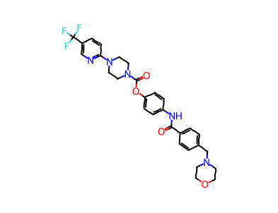 O=C(Nc1ccc(OC(=O)N2CCN(c3ccc(C(F)(F)F)cn3)CC2)cc1)c1ccc(CN2CCOCC2)cc1